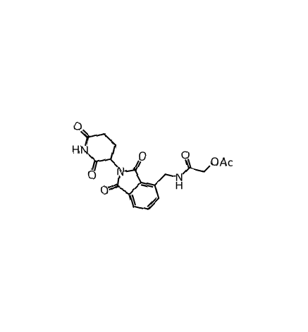 CC(=O)OCC(=O)NCc1cccc2c1C(=O)N(C1CCC(=O)NC1=O)C2=O